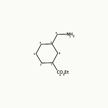 CCOC(=O)C1CCCC(CN)C1